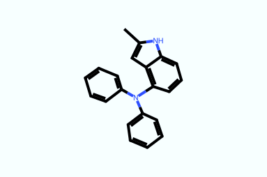 Cc1cc2c(N(c3ccccc3)c3ccccc3)cccc2[nH]1